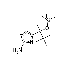 C[SiH](C)OC(C)(c1csc(N)n1)C(C)(C)C